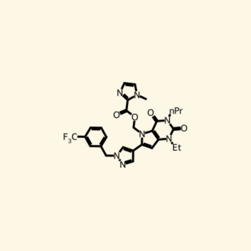 CCCn1c(=O)c2c(cc(-c3cnn(Cc4cccc(C(F)(F)F)c4)c3)n2COC(=O)c2nccn2C)n(CC)c1=O